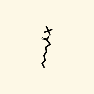 [CH2]CCCCCCC(=O)OC(C)(C)C